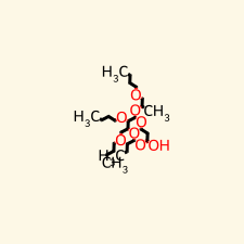 CCCCOCC(C)O[C@@H](OCCC(=O)O)C(OCCCC)C(COCCCC)OCCCC